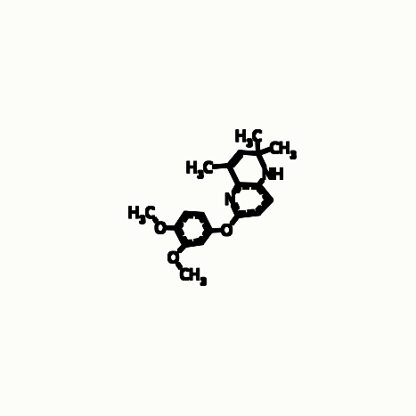 COc1ccc(Oc2ccc3c(n2)C(C)=CC(C)(C)N3)cc1OC